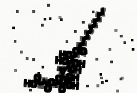 CCCCCCCCCCCCCC(=O)OCC(O)[C@@H](O)[C@H](O)C(O)[C@H]1CC1[C@@H]1O[C@H](COC(=O)CCC(=O)O)[C@H](O)C(O)C1O